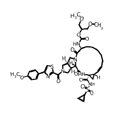 COCC(COC)OC(=O)N[C@H]1CCCCC/C=C\[C@@H]2C[C@@]2(C(=O)NS(=O)(=O)C2CC2)NC(=O)[C@@H]2[C@H]3CN(C(=O)c4nc(-c5ccc(OC)cc5)cs4)C[C@H]3CN2C1=O